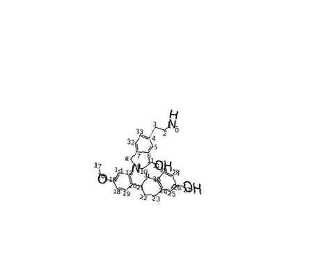 CNCCc1ccc(CN(CCO)c2cc(OC)ccc2C2CCc3cc(O)ccc3C2)cc1